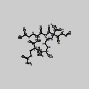 CN[C@@H](CCC(N)=O)C(=O)N[C@@H](CCC(=O)O)C(=O)OC(=O)C(/C=C/CCC(C)N)(C(C)=O)C(=O)OC=O